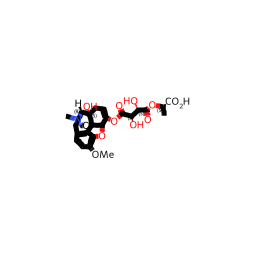 COc1ccc2c3c1OC1C(OC(=O)[C@@H](O)[C@H](O)C(=O)O[C@@H](C)C(=O)O)=CC[C@@]4(O)[C@@H](C2)N(C)CCC314